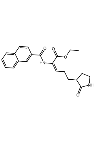 CCOC(=O)C(=CCC[C@H]1CCNC1=O)NC(=O)c1ccc2ccccc2c1